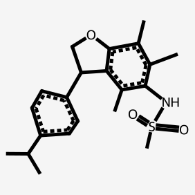 Cc1c(C)c2c(c(C)c1NS(C)(=O)=O)C(c1ccc(C(C)C)cc1)CO2